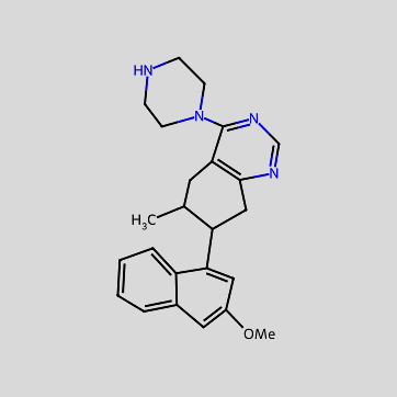 COc1cc(C2Cc3ncnc(N4CCNCC4)c3CC2C)c2ccccc2c1